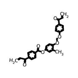 C=CC(=O)c1ccc(OCOc2ccc(OC(=O)c3ccc(C(=O)C=C)cc3)cc2C)cc1